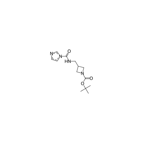 CC(C)(C)OC(=O)N1CC(CNC(=O)n2ccnc2)C1